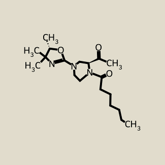 CCCCCCC(=O)N1CCN(C2=NC(C)(C)[C@H](C)O2)C[C@H]1C(C)=O